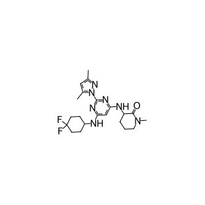 Cc1cc(C)n(-c2nc(NC3CCC(F)(F)CC3)cc(NC3CCCN(C)C3=O)n2)n1